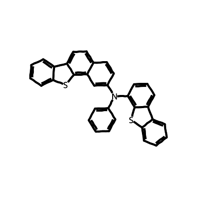 c1ccc(N(c2ccc3ccc4c5ccccc5sc4c3c2)c2cccc3c2sc2ccccc23)cc1